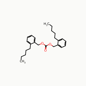 CCCCCc1ccccc1COC(=O)OCc1ccccc1CCCCC